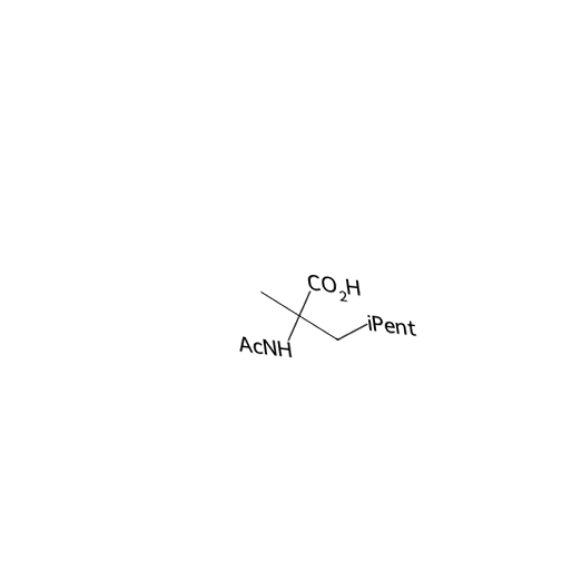 CCCC(C)CC(C)(NC(C)=O)C(=O)O